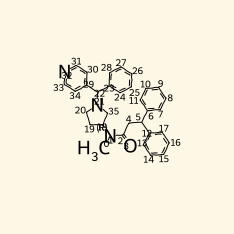 CN(C(=O)CC(c1ccccc1)c1ccccc1)[C@@H]1CCN(C(c2ccccc2)c2ccncc2)C1